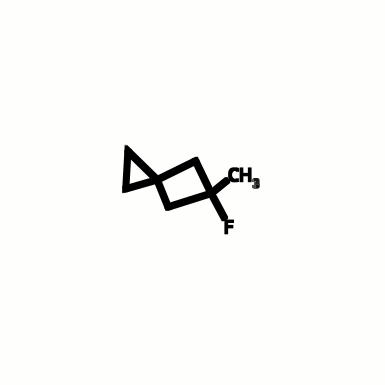 CC1(F)CC2(CC2)C1